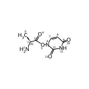 C[C@H](N)C(=O)On1ccc(=O)[nH]c1=O